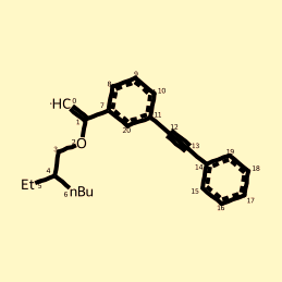 [CH]=C(OCC(CC)CCCC)c1cc[c]c(C#Cc2ccccc2)c1